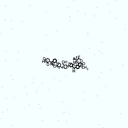 Cn1nc(C2CCC(=O)NC2=O)c2cccc(N3CCC(CN4CCN(c5cc(Nc6ccc7c(c6)c6c(c(=O)n7C)OCC(F)(F)C(C7CC7)N6)c(Cl)cn5)CC4CO)CC3)c21